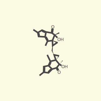 CC1=CC2=C(C)[C@]3(C[C@H]3C[C@@H]3C[C@]34C(C)=C3C=C(C)C=C3C(=O)[C@]4(C)O)[C@@](C)(O)C(=O)C2=C1